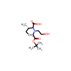 CC[C@H](C)[C@@H](C(=O)O)N(CCO)CC(=O)OC(C)(C)C